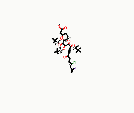 C=C(I)C[C@H](Cl)CCC(=O)C#CC(O[Si](C)(C)C(C)(C)C)[C@@H]1O[C@H]2CCC(CC(=O)OC)OC2C(O[Si](C)(C)C(C)(C)C)C1O[Si](C)(C)C(C)(C)C